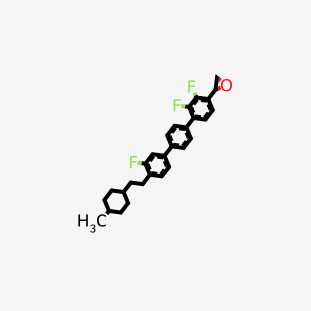 CC1CCC(CCc2ccc(-c3ccc(-c4ccc(C5CO5)c(F)c4F)cc3)cc2F)CC1